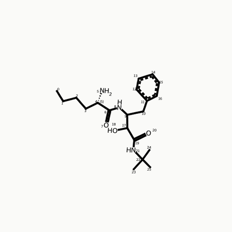 CCCC[C@H](N)C(=O)NC(Cc1ccccc1)C(O)C(=O)NC(C)(C)C